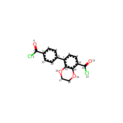 O=C(Cl)c1ccc(-c2ccc(C(=O)Cl)c3c2OCCO3)cc1